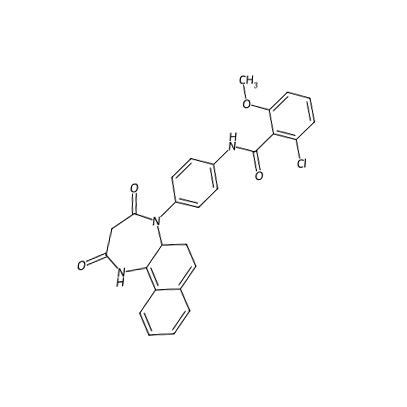 COc1cccc(Cl)c1C(=O)Nc1ccc(N2C(=O)CC(=O)NC3=c4ccccc4=CCC32)cc1